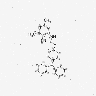 Cc1cc(NCCN2CCN(C(c3ccccc3)c3ccccc3)CC2)c(C#N)c(C)n1